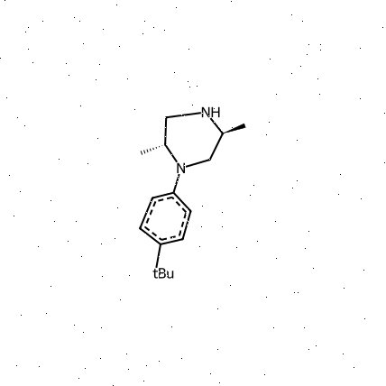 C[C@@H]1CN[C@@H](C)CN1c1ccc(C(C)(C)C)cc1